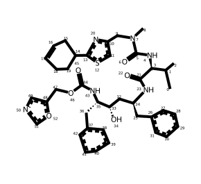 CC(C)[C@H](NC(=O)N(C)Cc1csc(C2CC=CCC2)n1)C(=O)N[C@@H](Cc1ccccc1)C[C@H](O)[C@H](Cc1ccccc1)NC(=O)OCc1cnco1